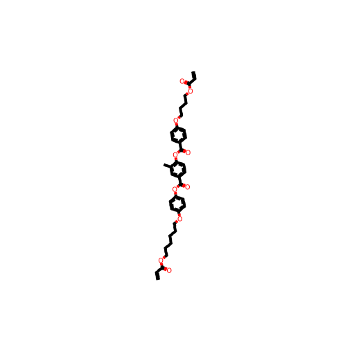 C=CC(=O)OCCCCCCOc1ccc(OC(=O)c2ccc(OC(=O)c3ccc(OCCCCOC(=O)C=C)cc3)c(C)c2)cc1